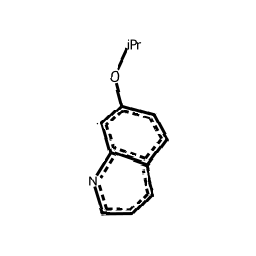 CC(C)Oc1[c]c2ncccc2cc1